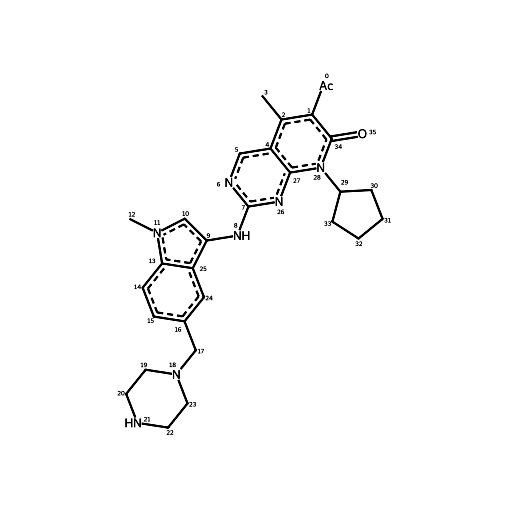 CC(=O)c1c(C)c2cnc(Nc3cn(C)c4ccc(CN5CCNCC5)cc34)nc2n(C2CCCC2)c1=O